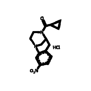 Cl.O=C(C1CC1)N1CCN2CC1Cc1ccc([N+](=O)[O-])cc12